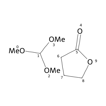 COC(OC)OC.O=C1CCCO1